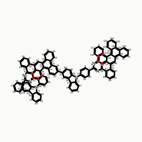 c1ccc(-c2nc(-c3ccc(-n4c5ccccc5c5cc(-c6ccc7c(c6)c6ccccc6c6cc(-c8ccccc8-c8nc(-c9ccccc9)nc(-c9ccccc9-n9c%10ccccc%10c%10ccccc%109)n8)c8ccccc8c76)ccc54)cc3)nc(-c3ccccc3-c3cc4c5ccccc5c5ccccc5c4c4ccccc34)n2)cc1